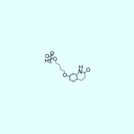 O=C1CCc2ccc(OCCCCOS(=O)(=O)S)cc2N1